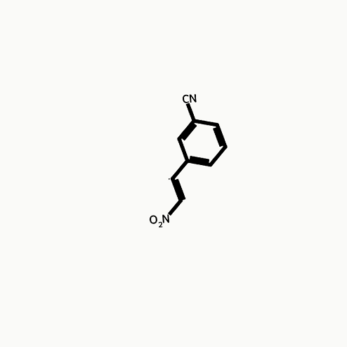 N#Cc1cccc(/[C]=C/[N+](=O)[O-])c1